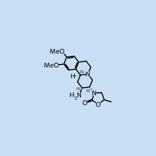 COc1cc2c(cc1OC)[C@@H]1C[C@H](N)[C@@H](N3CC(C)OC3=O)CN1CC2